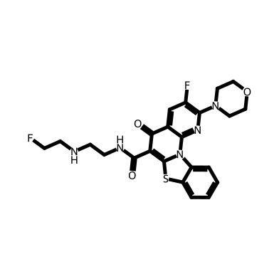 O=C(NCCNCCF)c1c(=O)c2cc(F)c(N3CCOCC3)nc2n2c1sc1ccccc12